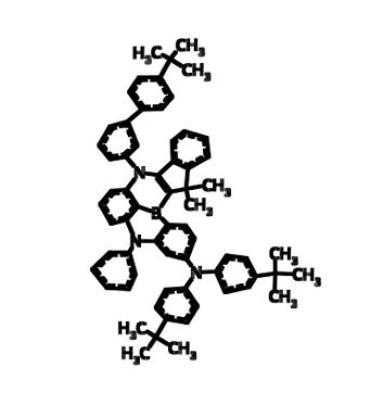 CC(C)(C)c1ccc(-c2cccc(N3C4=C(B5c6ccc(N(c7ccc(C(C)(C)C)cc7)c7ccc(C(C)(C)C)cc7)cc6N(c6ccccc6)c6cccc3c65)C(C)(C)c3ccccc34)c2)cc1